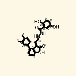 Cc1ccc(-c2cccc3c2C(=CCNNC(=O)c2cc(O)ccc2O)C(=O)N3)cc1C